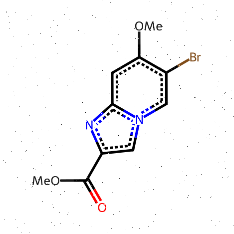 COC(=O)c1cn2cc(Br)c(OC)cc2n1